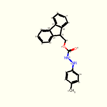 Cc1ccc(NNC(=O)OCC2c3ccccc3-c3ccccc32)cc1